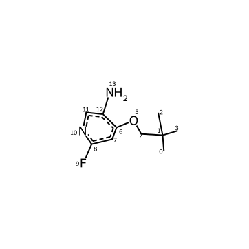 CC(C)(C)COc1cc(F)ncc1N